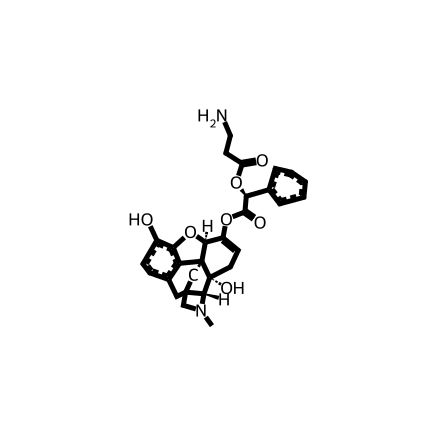 CN1CC23Cc4ccc(O)c5c4[C@@]4(C2)[C@@H](O5)C(OC(=O)[C@@H](OC(=O)CCN)c2ccccc2)=CC[C@@]4(O)[C@H]13